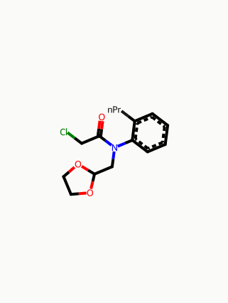 CCCc1ccccc1N(CC1OCCO1)C(=O)CCl